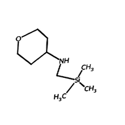 C[Si](C)(C)CNC1CCOCC1